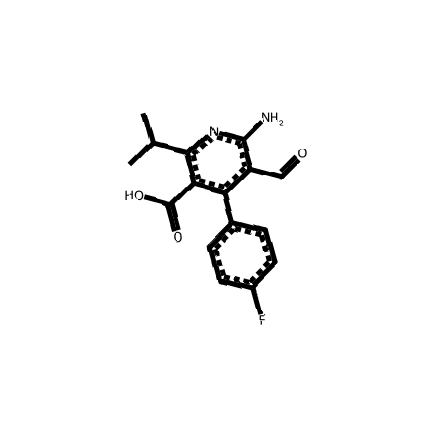 CC(C)c1nc(N)c(C=O)c(-c2ccc(F)cc2)c1C(=O)O